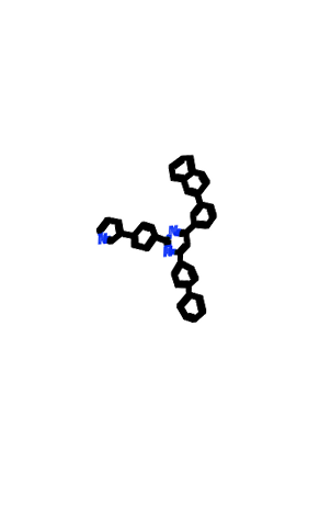 c1ccc(-c2ccc(-c3cc(-c4cccc(-c5ccc6ccccc6c5)c4)nc(-c4ccc(-c5cccnc5)cc4)n3)cc2)cc1